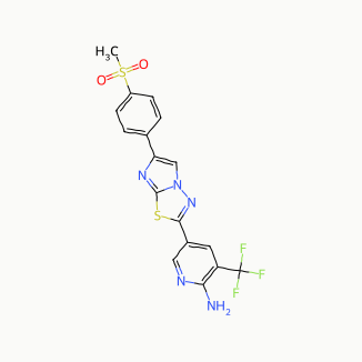 CS(=O)(=O)c1ccc(-c2cn3nc(-c4cnc(N)c(C(F)(F)F)c4)sc3n2)cc1